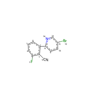 N#Cc1c(F)cccc1-c1ccc(Br)cn1